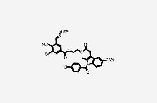 CCCCCCN=Cc1cc(C(=O)OCCOC(=O)Cc2c(C)n(C(=O)c3ccc(Cl)cc3)c3ccc(OC)cc23)cc(Br)c1N